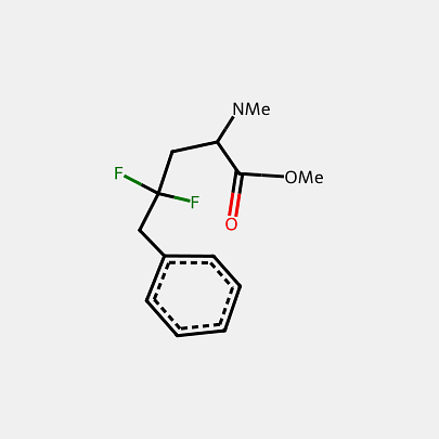 CNC(CC(F)(F)Cc1ccccc1)C(=O)OC